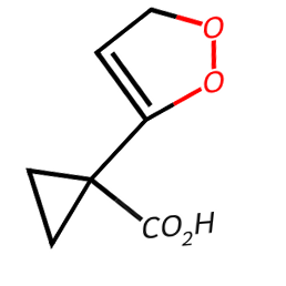 O=C(O)C1(C2=CCOO2)CC1